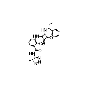 CC[C@@H](Nc1c(Nc2cccc(C(=O)Nc3nnn[nH]3)c2O)c(=O)c1=O)c1ccccc1